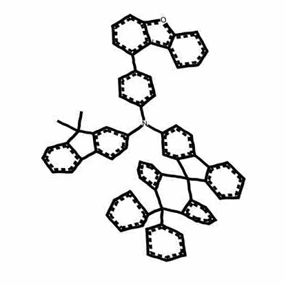 CC1(C)c2ccccc2-c2ccc(N(c3ccc(-c4cccc5oc6ccccc6c45)cc3)c3ccc4c(c3)C3(c5ccccc5-4)c4ccccc4C(c4ccccc4)(c4ccccc4)c4ccccc43)cc21